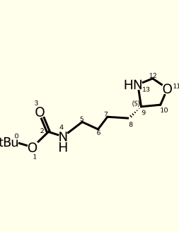 CC(C)(C)OC(=O)NCCCC[C@H]1COCN1